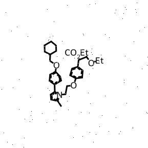 CCOC(=O)C(Cc1ccc(OCCn2c(C)ccc2-c2ccc(OCC3CCCCC3)cc2)cc1)OCC